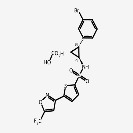 O=C(O)O.O=S(=O)(N[C@H]1C[C@@H]1c1cccc(Br)c1)c1ccc(-c2cc(C(F)(F)F)on2)s1